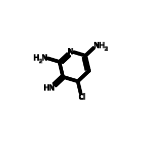 N=C1C(N)=NC(N)=CC1Cl